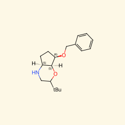 CC(C)(C)C1CN[C@H]2CC[C@@H](OCc3ccccc3)[C@H]2O1